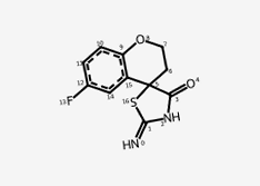 N=C1NC(=O)C2(CCOc3ccc(F)cc32)S1